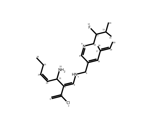 C=C(Cl)/C(=C/NCC(/C=N\CC(F)C(C)C)=C/C(C)=C/C)C(N)/C=C\CC